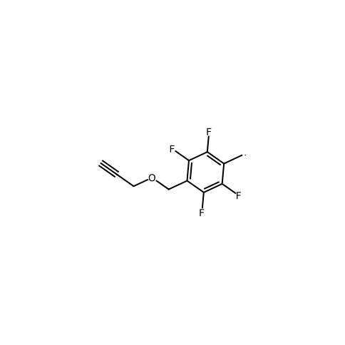 C#CCOCc1c(F)c(F)c([CH2])c(F)c1F